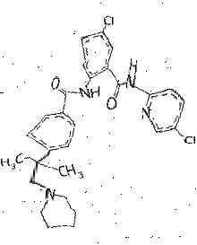 CC(C)(CN1CCCCC1)c1ccc(C(=O)Nc2ccc(Cl)cc2C(=O)Nc2ccc(Cl)cn2)cc1